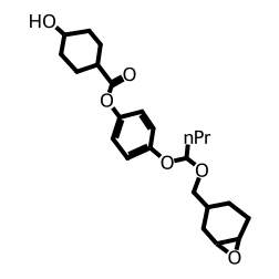 CCCC(OCC1CCC2OC2C1)Oc1ccc(OC(=O)C2CCC(O)CC2)cc1